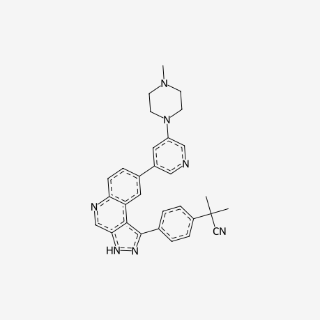 CN1CCN(c2cncc(-c3ccc4ncc5[nH]nc(-c6ccc(C(C)(C)C#N)cc6)c5c4c3)c2)CC1